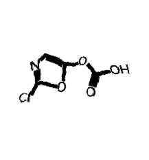 O=C(O)Oc1cnc(Cl)o1